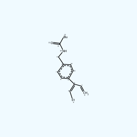 C=C/C(=C\CC)c1ccc(CNC(=O)C(C)CC)cc1